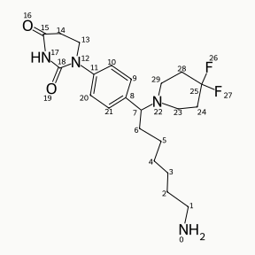 NCCCCCCC(c1ccc(N2CCC(=O)NC2=O)cc1)N1CCC(F)(F)CC1